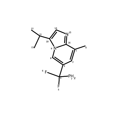 Cc1cc(C(F)(F)P)cn2c(C(C)C)cnc12